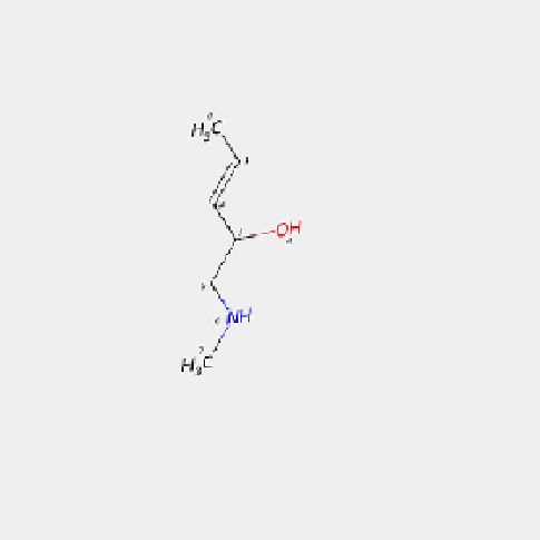 CC=CC(O)CNC